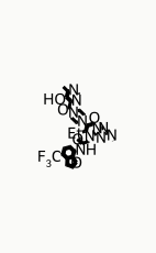 CCc1c(N2CCN(C(=O)c3ncnc(C)c3O)CC2)c(=O)n2nc(N(C)C)nc2n1CC(=O)Nc1ccc(C(F)(F)F)c2ccoc12